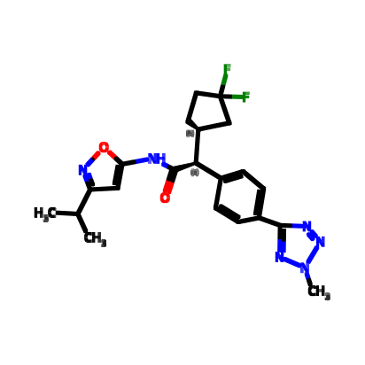 CC(C)c1cc(NC(=O)[C@H](c2ccc(-c3nnn(C)n3)cc2)[C@H]2CCC(F)(F)C2)on1